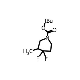 CC1CN(C(=O)OC(C)(C)C)CCC1(F)F